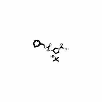 CC(C)(C)N[C@H]1CN(C(=O)O)C[C@H]1NC(=O)OCc1ccccc1